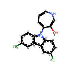 OC1=CNC=CC=C1n1c2ccc(Cl)cc2c2cc(Cl)ccc21